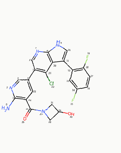 Nc1ncc(-c2cnc3[nH]cc(-c4cc(F)ccc4F)c3c2Cl)cc1C(=O)N1CC(O)C1